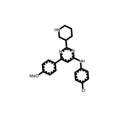 COc1ccc(-c2cc(Nc3ccc(Cl)cc3)nc(C3CCCNC3)n2)cc1